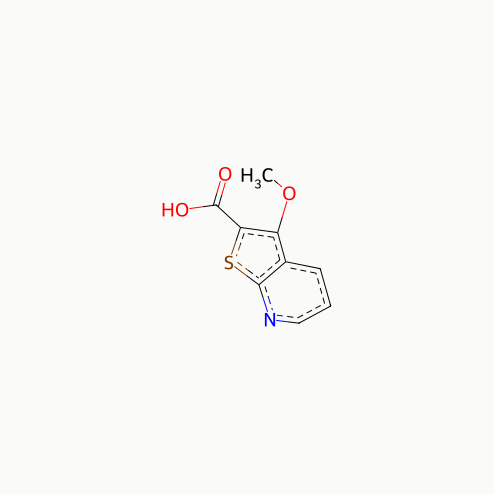 COc1c(C(=O)O)sc2ncccc12